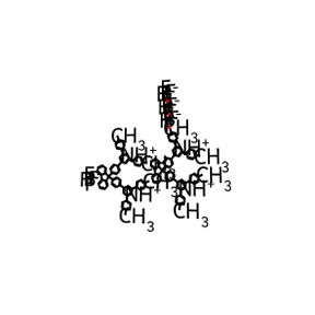 Cc1ccc(-c2cc(-c3ccc(C4(c5ccc(-c6cc(-c7ccc(C)cc7)[nH+]c(-c7ccc(C)cc7)c6)cc5)c5ccccc5-c5ccccc54)cc3)cc(-c3ccc(C)cc3)[nH+]2)cc1.Cc1ccc(-c2cc(-c3ccc(C4(c5ccc(-c6cc(-c7ccc(C)cc7)[nH+]c(-c7ccc(C)cc7)c6)cc5)c5ccccc5-c5ccccc54)cc3)cc(-c3ccc(C)cc3)[nH+]2)cc1.F[B-](F)(F)F.F[B-](F)(F)F.F[B-](F)(F)F.F[B-](F)(F)F